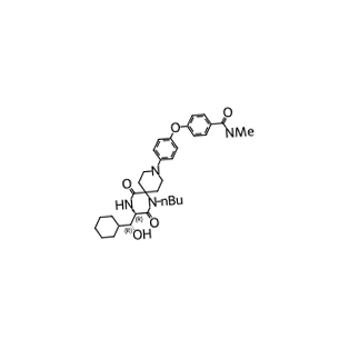 CCCCN1C(=O)[C@@H]([C@H](O)C2CCCCC2)NC(=O)C12CCN(c1ccc(Oc3ccc(C(=O)NC)cc3)cc1)CC2